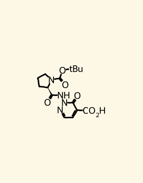 CC(C)(C)OC(=O)N1CCC[C@@H]1C(=O)Nn1nccc(C(=O)O)c1=O